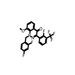 COc1cccc2c(=O)c(-c3cccc(C(F)(F)F)c3F)nn(Cc3ccc(F)cc3F)c12